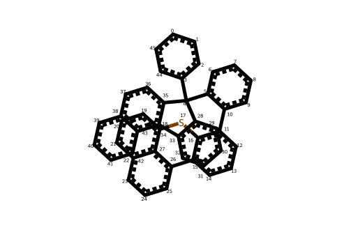 c1ccc(C2(c3ccccc3-c3cccc4c3Sc3cccc5cccc-4c35)c3ccccc3-c3c2ccc2ccccc32)cc1